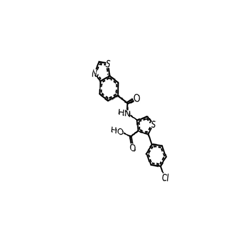 O=C(Nc1csc(-c2ccc(Cl)cc2)c1C(=O)O)c1ccc2ncsc2c1